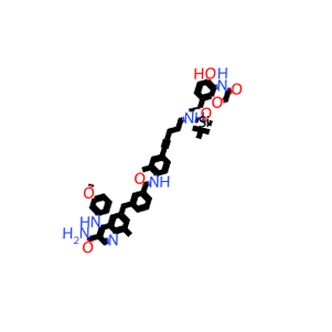 COc1cccc(Nc2c(C(N)=O)cnc3c(C)cc(Cc4cccc(C(=O)Nc5ccc(C#CCCCNC[C@H](O[Si](C)(C)C(C)(C)C)c6ccc(O)c7c6OCC(=O)N7)cc5C)c4)cc23)c1